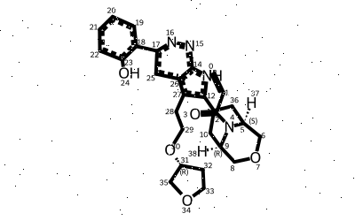 C=CC(=O)N1[C@@H]2COC[C@H]1CC(c1[nH]c3nnc(-c4ccccc4O)cc3c1CCO[C@@H]1CCOC1)C2